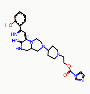 N=C1NCC2CN(C3CCN(CCOC(=O)n4ccnc4)CC3)CCN2/C1=C/C(=N)c1ccccc1O